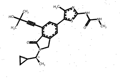 CNC(=O)Nc1nc(C)c(-c2cc(C#CC(C)(C)O)c3c(c2)CN([C@@H](C)C2CC2)C3=O)s1